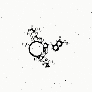 CCOc1cc2ccnc(O[C@@H]3C[C@H]4C(=O)N[C@]5(C(=O)NS(=O)(=O)C6(C)CC6)C[C@H]5C=CCC[C@H](C)C[C@@H](CC)[C@H](NC(=O)OC(C)(C)C(F)F)C(=O)N4C3)c2cc1F